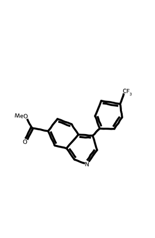 COC(=O)c1ccc2c(-c3ccc(C(F)(F)F)cc3)cncc2c1